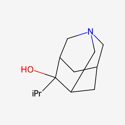 CC(C)C1(O)C2CC3CC1CN(C3)C2